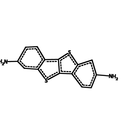 Nc1ccc2c(c1)sc1c3ccc(N)cc3sc21